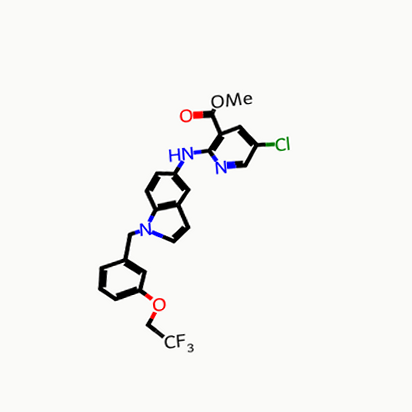 COC(=O)c1cc(Cl)cnc1Nc1ccc2c(ccn2Cc2cccc(OCC(F)(F)F)c2)c1